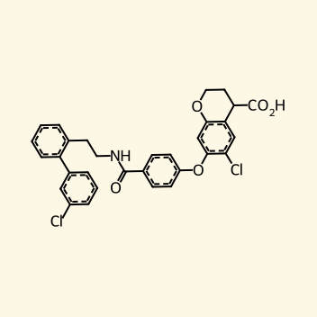 O=C(NCCc1ccccc1-c1cccc(Cl)c1)c1ccc(Oc2cc3c(cc2Cl)C(C(=O)O)CCO3)cc1